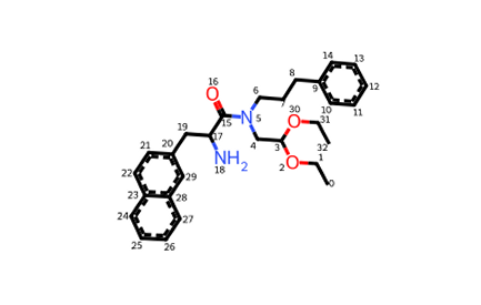 CCOC(CN(CCCc1ccccc1)C(=O)C(N)Cc1ccc2ccccc2c1)OCC